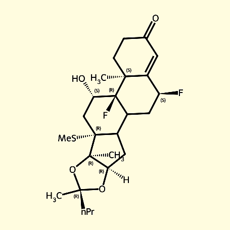 CCC[C@]1(C)O[C@@H]2CC3C4C[C@H](F)C5=CC(=O)CC[C@]5(C)[C@@]4(F)[C@@H](O)C[C@]3(SC)[C@]2(C)O1